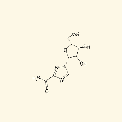 NC(=O)c1ncn([C@@H]2O[C@H](CO)[C@@H](O)C2O)n1